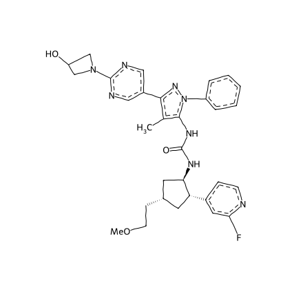 COCC[C@@H]1C[C@@H](NC(=O)Nc2c(C)c(-c3cnc(N4CC(O)C4)nc3)nn2-c2ccccc2)[C@H](c2ccnc(F)c2)C1